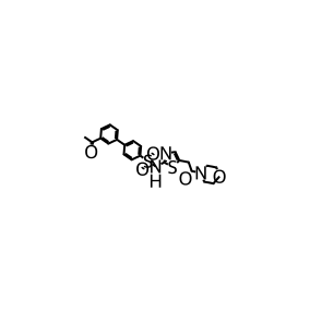 CC(=O)c1cccc(-c2ccc(S(=O)(=O)Nc3ncc(CC(=O)N4CCOCC4)s3)cc2)c1